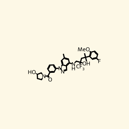 COc1ccc(F)cc1C(C)(C)CC(O)(CNc1cc(C)cc2c1cnn2-c1cccc(C(=O)N2CC[C@@H](O)C2)c1)C(F)(F)F